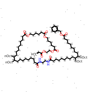 C=CC(=O)OCCOC(=O)CCCCCOC(=O)CCCCCOC(=O)CCCCCCCCC(CCCCCCCC)C(CCCCCCCC)CCCCCCCCC(=O)NCCNC(=O)CCCCCCCCC(CCCCCCCC)C(CCCCCCCC)CCCCCCCCC(=O)OCc1ccccc1